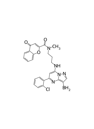 Bc1cnn2c(NCCCN(C)C(=O)c3cc(=O)c4ccccc4o3)cc(-c3ccccc3Cl)nc12